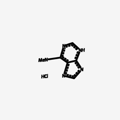 CNc1nc[nH]c2ncnc1-2.Cl